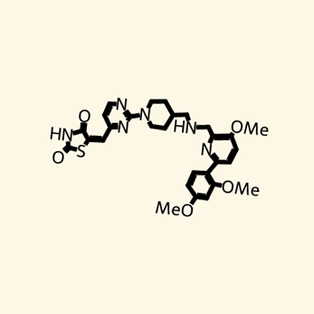 COc1ccc(-c2ccc(OC)c(CNCC3CCN(c4nccc(C=C5SC(=O)NC5=O)n4)CC3)n2)c(OC)c1